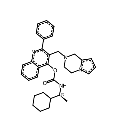 C[C@H](NC(=O)Oc1c(CN2CCn3cccc3C2)c(-c2ccccc2)nc2ccccc12)C1CCCCC1